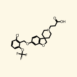 O=C(O)CCN1CCC2(CC1)COc1cc(OCc3c(Cl)cccc3OC(F)(F)F)ccc12